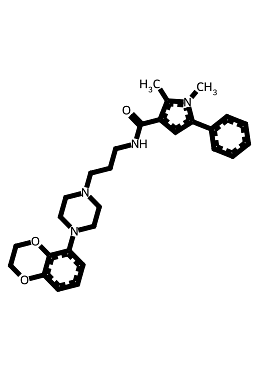 Cc1c(C(=O)NCCCN2CCN(c3cccc4c3OCCO4)CC2)cc(-c2ccccc2)n1C